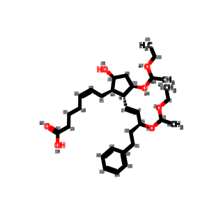 CCOC(C)O[C@H](/C=C/[C@@H]1[C@@H](C/C=C\CCCC(=O)O)[C@@H](O)C[C@H]1OC(C)OCC)CCc1ccccc1